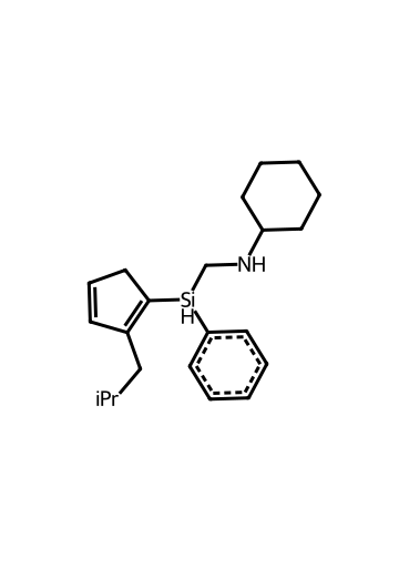 CC(C)CC1=C([SiH](CNC2CCCCC2)c2ccccc2)CC=C1